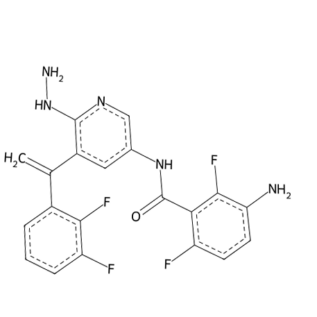 C=C(c1cc(NC(=O)c2c(F)ccc(N)c2F)cnc1NN)c1cccc(F)c1F